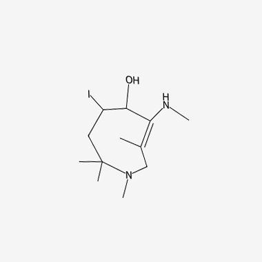 CN/C1=C(/C)CN(C)C(C)(C)CC(I)C1O